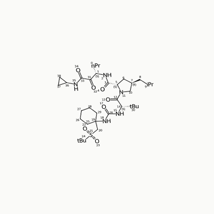 CCC[C@H](NC(=O)[C@@H]1C[C@@H](CC(C)C)CN1C(=O)[C@@H](NC(=O)NC1(CS(=O)(=O)C(C)(C)C)CCCCC1)C(C)(C)C)C(=O)C(=O)NC1CC1